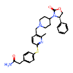 Cc1nc(Sc2ccc(CC(N)=O)cc2)ccc1CN1CCC(N2C(=O)OC[C@H]2c2ccccc2)CC1